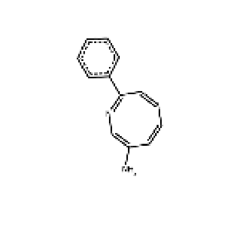 NC1=C/N=C(c2ccccc2)\C=C/C=C\1